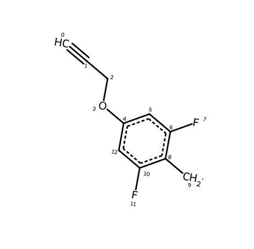 C#CCOc1cc(F)c([CH2])c(F)c1